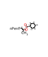 CCCCCC=C(C)OC(=O)c1ccccc1